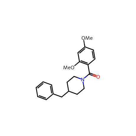 COc1ccc(C(=O)N2CCC(Cc3ccccc3)CC2)c(OC)c1